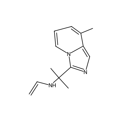 C=CNC(C)(C)c1ncc2c(C)cccn12